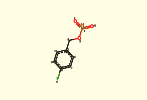 O=[SH](=O)O[CH]c1ccc(F)cc1